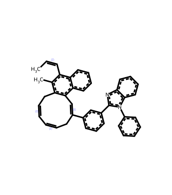 C/C=C\c1c(C)c2c(c3ccccc13)/C=C(/c1cccc(-c3nc4ccccc4n3-c3ccccc3)c1)C/C=C\C=C/C2